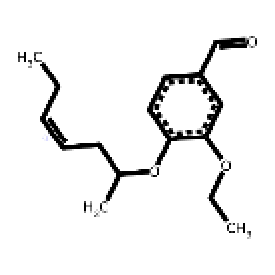 CC/C=C\CC(C)Oc1ccc(C=O)cc1OCC